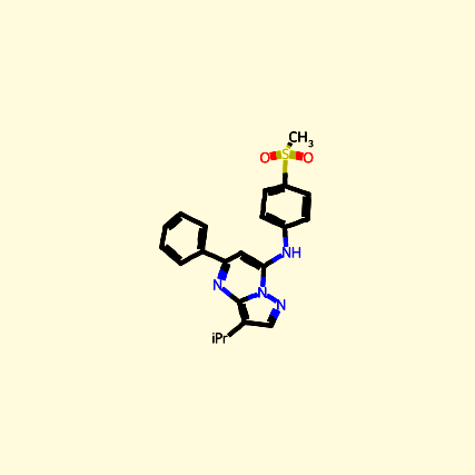 CC(C)c1cnn2c(Nc3ccc(S(C)(=O)=O)cc3)cc(-c3ccccc3)nc12